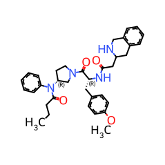 CCCC(=O)N(c1ccccc1)[C@@H]1CCN(C(=O)[C@@H](Cc2ccc(OC)cc2)NC(=O)CC2Cc3ccccc3CN2)C1